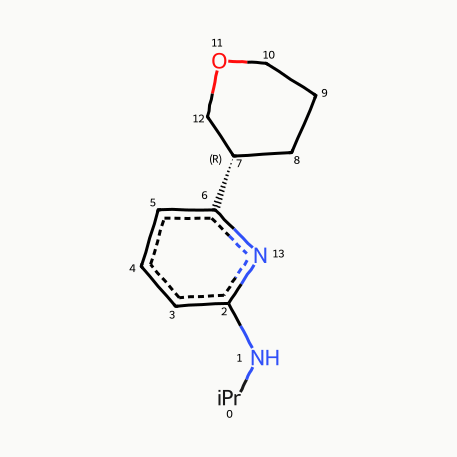 CC(C)Nc1cccc([C@H]2CCCOC2)n1